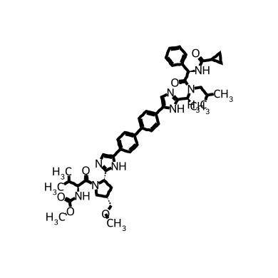 COC[C@H]1C[C@@H](c2ncc(-c3ccc(-c4ccc(-c5cnc([C@H](C)N(CC(C)C)C(=O)[C@H](NC(=O)C6CC6)c6ccccc6)[nH]5)cc4)cc3)[nH]2)N(C(=O)[C@@H](NC(=O)OC)C(C)C)C1